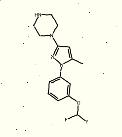 Cc1cc(N2CCNCC2)nn1-c1cccc(OC(F)F)c1